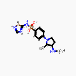 CC(C)(C)C1C(NC(=O)O)CCN1c1ccc(S(=O)(=O)Nc2ncns2)cc1